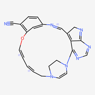 N#Cc1ccc2cc1O/C=C\C=C/CN1C=CN(CC1)c1ncnc3c1=C(/C=N\2)CN=3